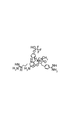 CN(C)C(=O)C(Cc1ccc(C(=N)N)cc1)C(=O)N[C@H](C(=O)N[C@@H](CCCNC(=N)N)C(N)=O)c1ccccc1.O=C(O)C(F)(F)F